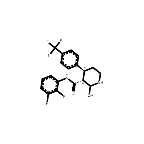 O=C(Nc1cccc(F)c1F)[C@H]1C(O)NCC[C@@H]1c1ccc(C(F)(F)F)cc1